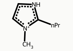 CCCc1[nH]cc[n+]1C